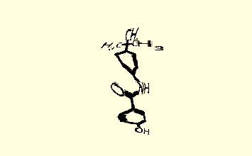 CC(C)(C)c1ccc(NC(=O)c2ccc(O)cc2)cc1